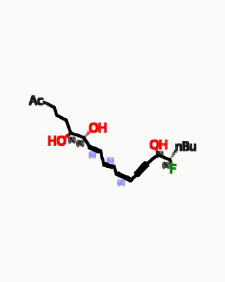 CCCC[C@H](F)[C@@H](O)C#C\C=C/C=C/C=C/[C@@H](O)[C@@H](O)CCCC(C)=O